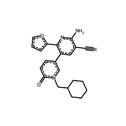 N#Cc1cc(-c2ccc(=O)n(CC3CCCCC3)c2)c(-c2ccco2)nc1N